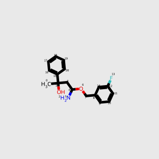 CC(O)(CC(N)OCc1cccc(F)c1)c1ccccc1